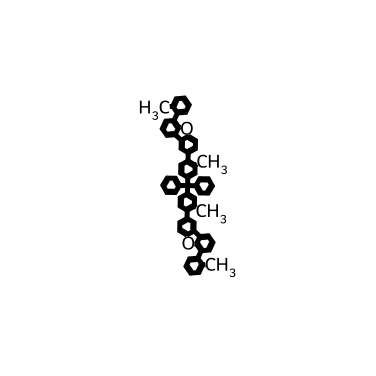 Cc1cc(C(c2ccccc2)(c2ccccc2)c2ccc(-c3ccc4oc5c(-c6ccccc6C)cccc5c4c3)c(C)c2)ccc1-c1ccc2oc3c(-c4ccccc4C)cccc3c2c1